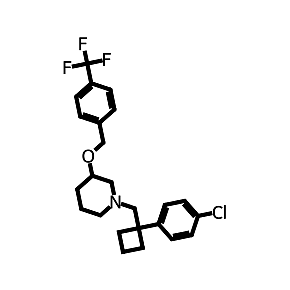 FC(F)(F)c1ccc(COC2CCCN(CC3(c4ccc(Cl)cc4)CCC3)C2)cc1